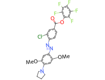 COc1cc(N2CCCC2)c(OC)cc1/N=N/c1ccc(C(=O)Oc2c(F)c(F)c(F)c(F)c2F)cc1Cl